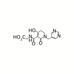 O=C(O)CNC(=O)C1=C(O)CCN(Cc2cncnc2)C1=O